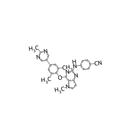 Cc1ncc(-c2cc(C)c(Oc3nc(Nc4ccc(C#N)cc4)nc4ccn(C)c34)c(C)c2)cn1